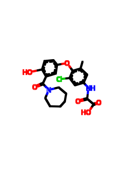 Cc1cc(NC(=O)C(=O)O)cc(Cl)c1Oc1ccc(O)c(C(=O)N2CCCCCC2)c1